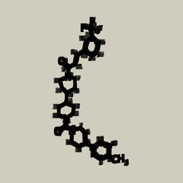 Cc1ccc(C2=CCN(C(=O)N3CCC(C4CCN(C(=O)C=Cc5cccc(C(F)(F)F)c5)CC4)CC3)CC2)cc1